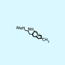 CNCC(N)Cc1ccn2cc(C)cc2c1